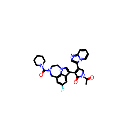 CC(=O)N1CC(c2cnc3ccccn23)=C(c2cn3c4c(cc(F)cc24)CN(C(=O)N2CCCCC2)CC3)C1=O